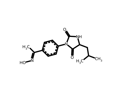 CC(=NO)c1ccc(N2C(=O)NC(CC(C)C)C2=O)cc1